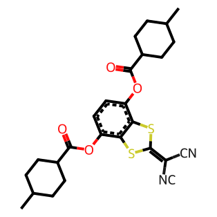 [C-]#[N+]C(C#N)=C1Sc2c(OC(=O)C3CCC(C)CC3)ccc(OC(=O)C3CCC(C)CC3)c2S1